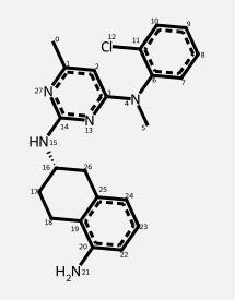 Cc1cc(N(C)c2ccccc2Cl)nc(N[C@H]2CCc3c(N)cccc3C2)n1